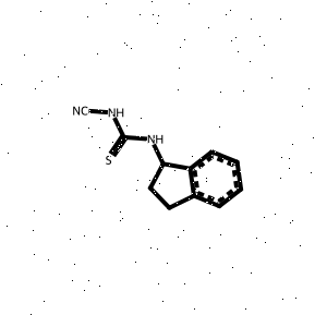 N#CNC(=S)NC1CCc2ccccc21